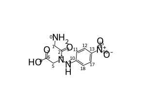 NCC(=O)N(CC(=O)O)Nc1ccc([N+](=O)[O-])cc1